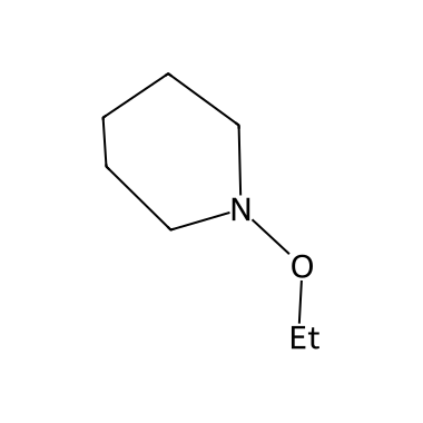 CCON1CCCCC1